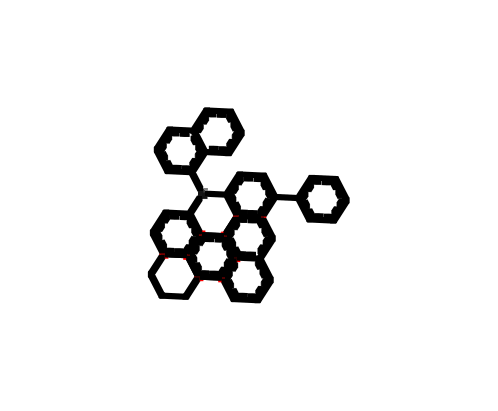 c1ccc(-c2ccc(N(c3ccccc3-c3cccc4cccc(C5CCCCC5)c34)c3cccc4ccccc34)c(-c3ccccc3)c2)cc1